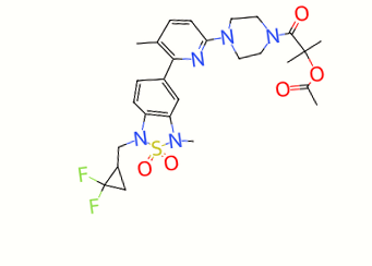 CC(=O)OC(C)(C)C(=O)N1CCN(c2ccc(C)c(-c3ccc4c(c3)N(C)S(=O)(=O)N4CC3CC3(F)F)n2)CC1